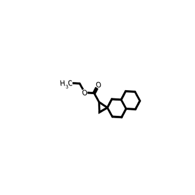 CCOC(=O)C1CC12CCC1CCCCC1C2